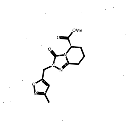 COC(=O)[C@H]1CCCc2nn(Cc3cc(C)no3)c(=O)n21